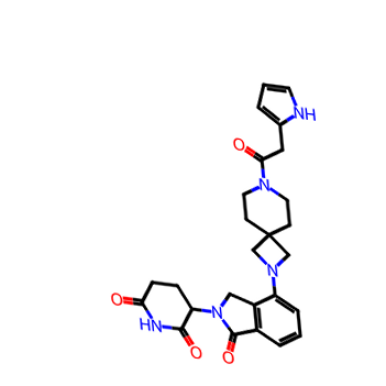 O=C1CCC(N2Cc3c(cccc3N3CC4(CCN(C(=O)Cc5ccc[nH]5)CC4)C3)C2=O)C(=O)N1